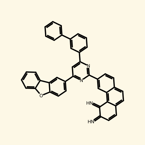 N=C1C=Cc2ccc3ccc(-c4nc(-c5cccc(-c6ccccc6)c5)cc(-c5ccc6oc7ccccc7c6c5)n4)cc3c2C1=N